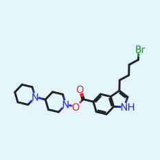 O=C(ON1CCC(N2CCCCC2)CC1)c1ccc2[nH]cc(CCCCBr)c2c1